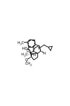 CO[C@]12CCC3(C[C@]1(C)CO)[C@H]1Cc4ccc(C)c5c4[C@@]3(CCN1CC1CC1)[C@H]2O5